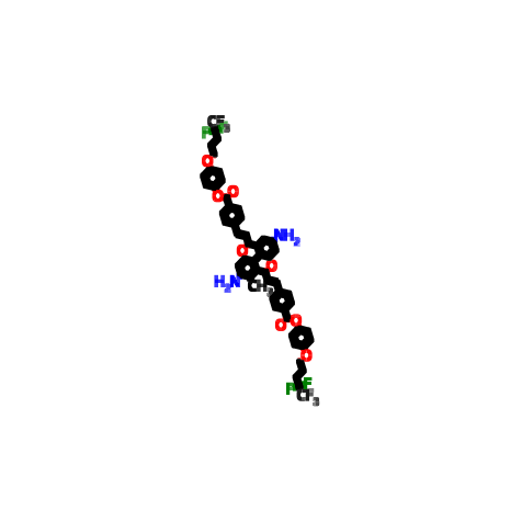 Cc1c(N)ccc(-c2ccc(N)cc2C(=O)C=Cc2ccc(C(=O)Oc3ccc(OCCCC(F)(F)C(F)(F)F)cc3)cc2)c1C(=O)C=Cc1ccc(C(=O)Oc2ccc(OCCCC(F)(F)C(F)(F)F)cc2)cc1